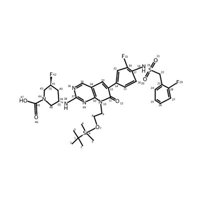 CC(C)(C)[Si](C)(C)OCCn1c(=O)c(-c2ccc(NS(=O)(=O)Cc3ccccc3F)c(F)c2)cc2cnc(N[C@H]3C[C@H](F)CN(C(=O)O)C3)nc21